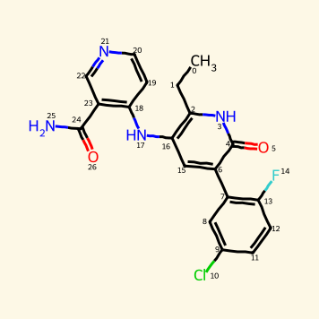 CCc1[nH]c(=O)c(-c2cc(Cl)ccc2F)cc1Nc1ccncc1C(N)=O